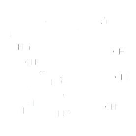 CC1=C(C)C(C)C(C2=C(C)[CH]([Zr+2])c3ccc([SiH](C)C)c(-c4ccccc4)c32)=C1C.[Cl-].[Cl-]